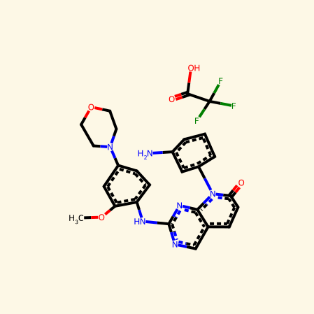 COc1cc(N2CCOCC2)ccc1Nc1ncc2ccc(=O)n(-c3cccc(N)c3)c2n1.O=C(O)C(F)(F)F